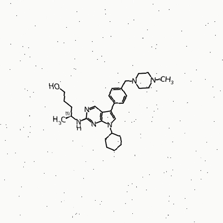 C[C@@H](CCCO)Nc1ncc2c(-c3ccc(CN4CCN(C)CC4)cc3)cn(C3CCCCC3)c2n1